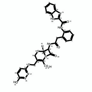 O=C(Cc1ccccc1NC(=O)c1nc2ccccc2[nH]1)NC1C(=O)N2C(C(=O)O)=C(CSc3ccc(O)nn3)CS[C@H]12